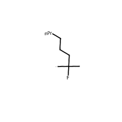 [CH2]C(C)(F)CCCCCC